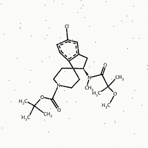 COC(C)(C)C(=O)N(C)[C@@H]1Cc2cc(Cl)ccc2C12CCN(C(=O)OC(C)(C)C)CC2